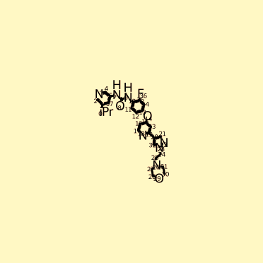 CC(C)c1cncc(NC(=O)Nc2ccc(Oc3ccnc(-c4cnn(CCN5CCOCC5)c4)c3)cc2F)c1